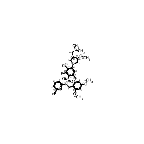 COc1ccc(CN(c2cccc(F)n2)S(=O)(=O)c2c(F)cc(N3C[C@@H](CN(C)C)[C@@H](OC)C3)c(Cl)c2F)c(OC)c1